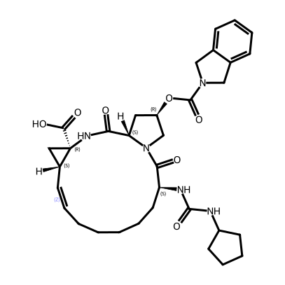 O=C(NC1CCCC1)N[C@H]1CCCCC/C=C\[C@@H]2C[C@@]2(C(=O)O)NC(=O)[C@@H]2C[C@@H](OC(=O)N3Cc4ccccc4C3)CN2C1=O